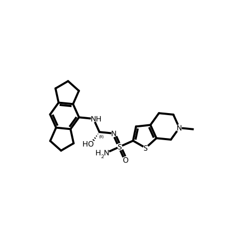 CN1CCc2cc(S(N)(=O)=N[C@H](O)Nc3c4c(cc5c3CCC5)CCC4)sc2C1